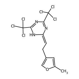 Cc1cc(CC=C2N=C(C(Cl)(Cl)Cl)N=C(C(Cl)(Cl)Cl)N2)co1